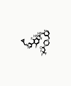 O=C(CC(F)(F)F)N1CCN(Cc2ccnc(Nc3nc4cc(F)c(-c5cnn(CC6CC6)c5)c(F)c4[nH]3)c2)CC1